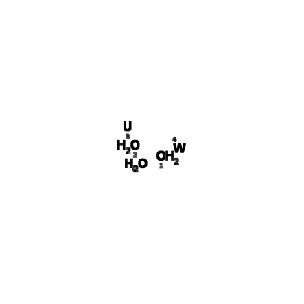 O.O.O.[U].[W]